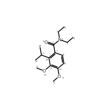 CCN(CC)C(=O)c1ccc(OC)c(OC)c1C(C)C